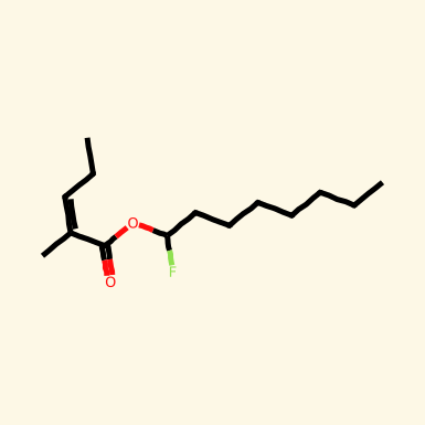 CCC=C(C)C(=O)OC(F)CCCCCCC